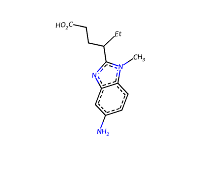 CCC(CCC(=O)O)c1nc2cc(N)ccc2n1C